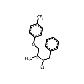 CCN(Cc1ccccc1)[C@@H](C)COc1ccc(C(F)(F)F)cc1